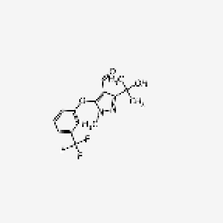 Cn1nc(C(C)(C)O)c(C=O)c1Oc1cccc(C(F)(F)F)c1